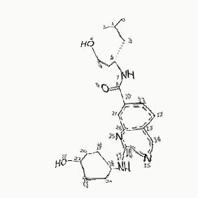 CC(C)C[C@@H](CO)NC(=O)c1ccc2cnc(NC3CCC(O)CC3)nc2c1